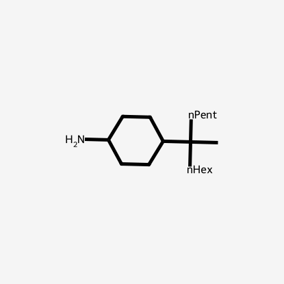 CCCCCCC(C)(CCCCC)C1CCC(N)CC1